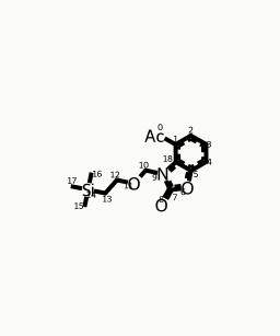 CC(=O)c1cccc2oc(=O)n(COCC[Si](C)(C)C)c12